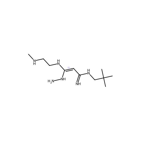 CNCCN/C(=C/C(=N)NCC(C)(C)C)NN